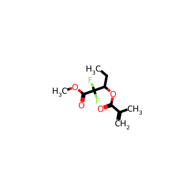 C=C(C)C(=O)OC(CC)C(F)(F)C(=O)OC